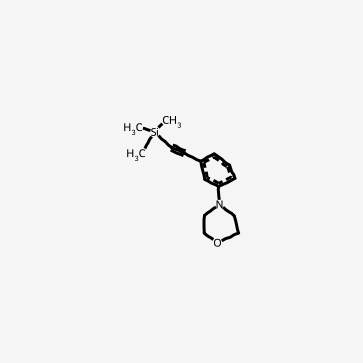 C[Si](C)(C)C#Cc1cccc(N2CCOCC2)c1